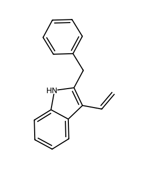 C=Cc1c(Cc2ccccc2)[nH]c2ccccc12